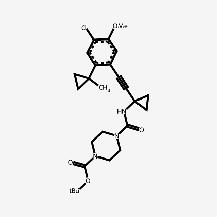 COc1cc(C#CC2(NC(=O)N3CCN(C(=O)OC(C)(C)C)CC3)CC2)c(C2(C)CC2)cc1Cl